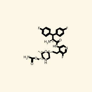 C[C@@H]1O[C@H](CCc2c(F)cncc2NC(=O)[C@@H](N)C(c2ccc(F)cc2)c2ccc(F)cc2)CN[C@@H]1COC(N)=O